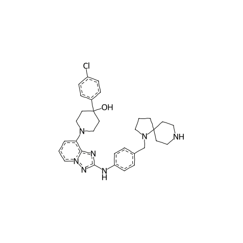 OC1(c2ccc(Cl)cc2)CCN(c2cccn3nc(Nc4ccc(CN5CCCC56CCNCC6)cc4)nc23)CC1